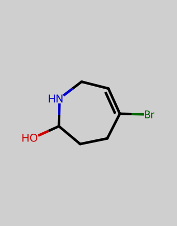 OC1CCC(Br)=CCN1